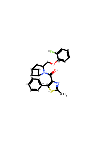 Cc1nc(C(=O)N2C(COc3ccccc3F)CC3CC2C3)c(-c2ccccc2)s1